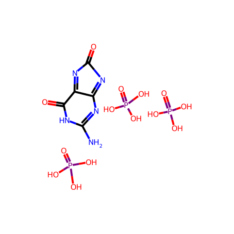 Nc1nc2c(c(=O)[nH]1)=NC(=O)N=2.O=P(O)(O)O.O=P(O)(O)O.O=P(O)(O)O